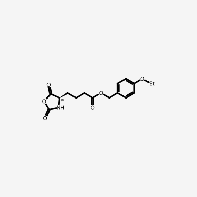 CCOc1ccc(COC(=O)CCC[C@H]2NC(=O)OC2=O)cc1